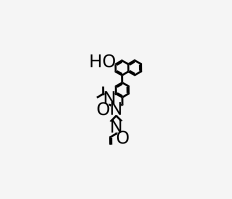 C=CC(=O)N1CC(N2Cc3ccc(-c4cc(O)cc5ccccc45)cc3N(C(C)C)C2=O)C1